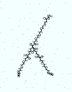 CC(C)(C)OC(=O)CCOCCOCCOCCOCCNC(=O)[C@H](CCCCNC(=O)CCOCCOCCN=[N+]=[N-])NC(=O)CCCNC(=O)CCOCCOCCN=[N+]=[N-]